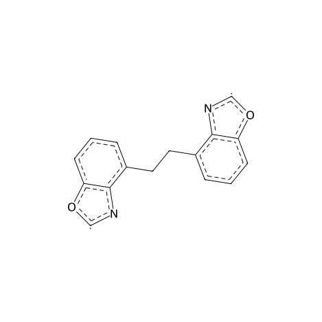 [c]1nc2c(CCc3cccc4o[c]nc34)cccc2o1